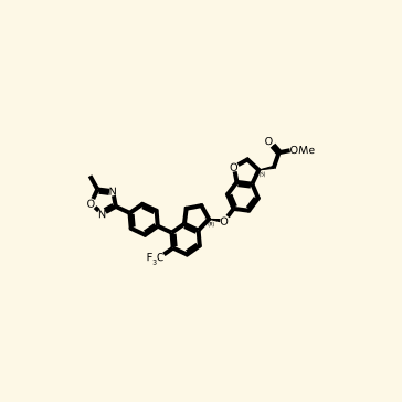 COC(=O)C[C@@H]1COc2cc(O[C@@H]3CCc4c3ccc(C(F)(F)F)c4-c3ccc(-c4noc(C)n4)cc3)ccc21